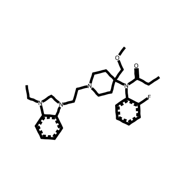 CCC(=O)N(c1ccccc1F)C1(COC)CCN(CCN2CN(CC)c3ccccc32)CC1